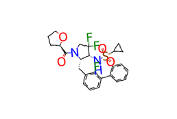 O=C([C@H]1CCCO1)N1CC(F)(F)[C@H](NS(=O)(=O)C2CC2)[C@@H]1Cc1cccc(-c2ccccc2)c1F